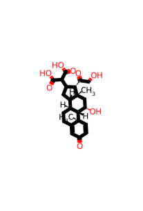 C[C@]12C[C@H](O)[C@H]3[C@@H](CCC4=CC(=O)C=C[C@@]43C)[C@@H]1CC(C(C(=O)O)C(=O)O)[C@@H]2C(=O)CO